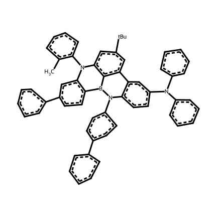 Cc1ccccc1N1c2cc(-c3ccccc3)ccc2B2c3c(cc(C(C)(C)C)cc31)-c1cc(N(c3ccccc3)c3ccccc3)ccc1N2c1ccc(-c2ccccc2)cc1